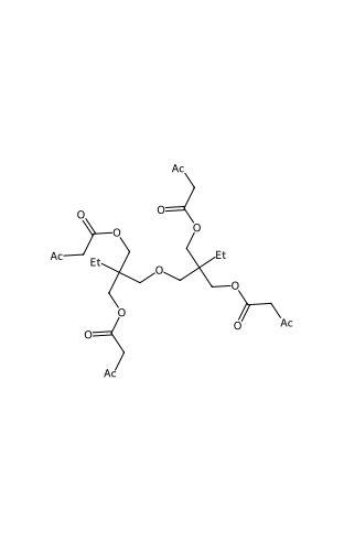 CCC(COCC(CC)(COC(=O)CC(C)=O)COC(=O)CC(C)=O)(COC(=O)CC(C)=O)COC(=O)CC(C)=O